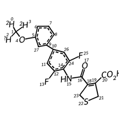 [2H]C([2H])([2H])Oc1cccc(-c2cc(F)c(NC(=O)C3=C(C(=O)O)CSC3)c(F)c2)c1